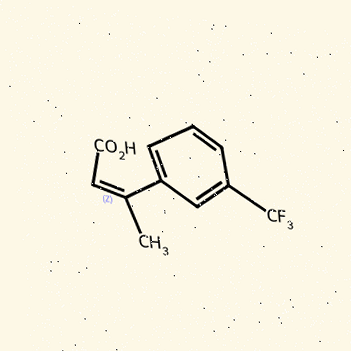 C/C(=C/C(=O)O)c1cccc(C(F)(F)F)c1